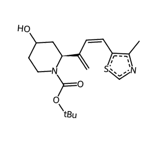 C=C(/C=C\c1scnc1C)[C@@H]1CC(O)CCN1C(=O)OC(C)(C)C